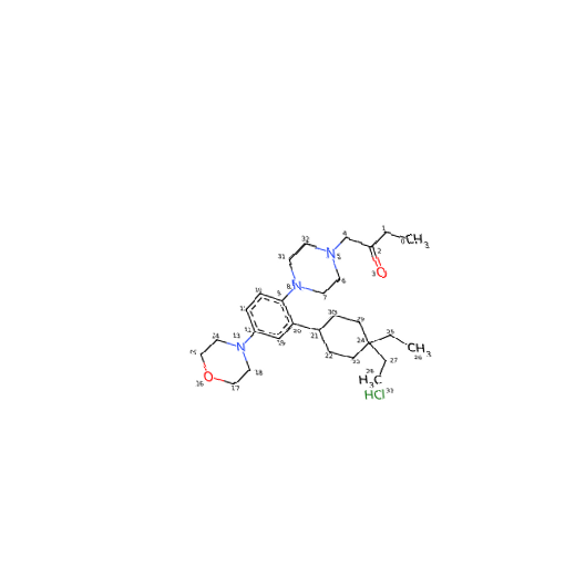 CCC(=O)CN1CCN(c2ccc(N3CCOCC3)cc2C2CCC(CC)(CC)CC2)CC1.Cl